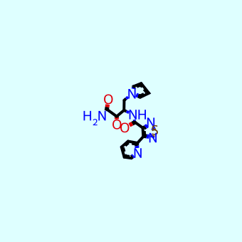 NC(=O)C(=O)C(Cn1cccc1)NC(=O)c1nsnc1-c1ccccn1